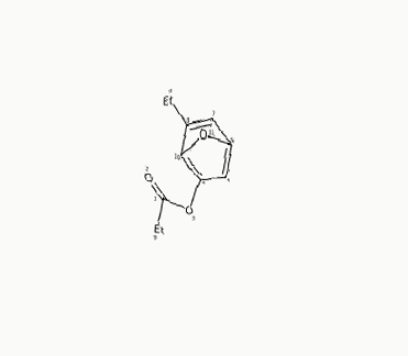 CCC(=O)Oc1cc2cc(CC)c1o2